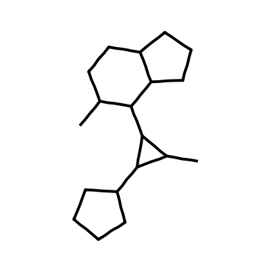 CC1CCC2CCCC2C1C1C(C)C1C1CCCC1